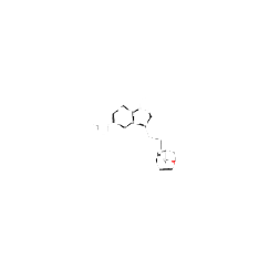 COc1ccc2occ(CCN3CC4C=CC3CC4)c2c1